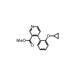 COC(=O)c1cnccc1-c1ccccc1OC1CC1